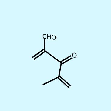 C=C(C)C(=O)C(=C)[C]=O